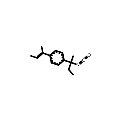 CC=C(C)c1ccc(C(C)(CC)N=C=O)cc1